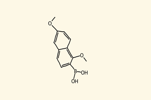 COc1ccc2c(OC)c(B(O)O)ccc2c1